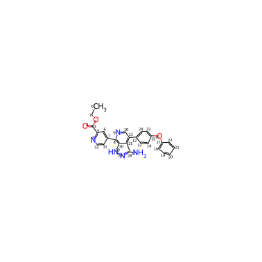 CCOC(=O)c1cc(-c2ncc(-c3ccc(Oc4ccccc4)cc3)c3c(N)n[nH]c23)ccn1